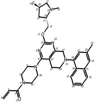 C=CC(=O)N1CCN(c2nc(OC[C@@H]3C[C@@H](F)CN3C)nc3c2CCN(c2cc(C)cc4ccccc24)C3)CC1